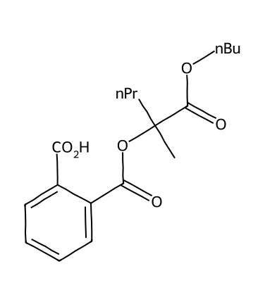 CCCCOC(=O)C(C)(CCC)OC(=O)c1ccccc1C(=O)O